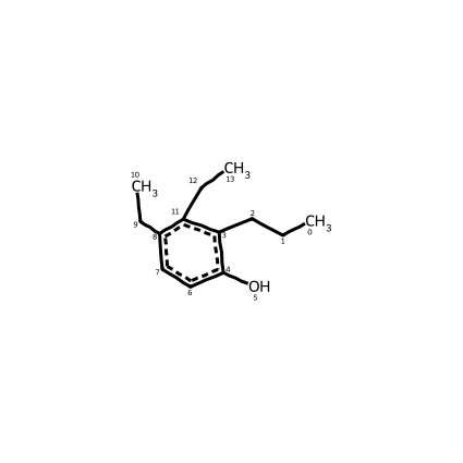 CCCc1c(O)ccc(CC)c1CC